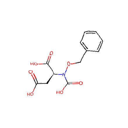 O=C(O)C[C@@H](C(=O)O)N(OCc1ccccc1)C(=O)O